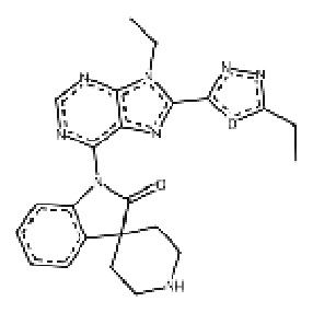 CCc1nnc(-c2nc3c(N4C(=O)C5(CCNCC5)c5ccccc54)ncnc3n2CC)o1